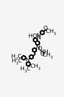 CONCON(c1cccc(Cc2ccc(N(c3ccc(C)c(C)c3)c3ccc(C)c(C)c3)cc2)c1)c1ccc2c(N=Nc3ccc(C(C)=O)cc3)c(O)ccc2c1